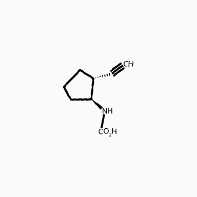 C#C[C@H]1CCC[C@@H]1NC(=O)O